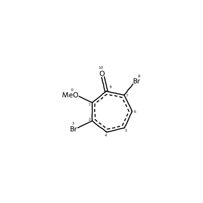 COc1c(Br)cccc(Br)c1=O